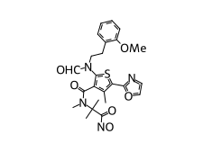 COc1ccccc1CCN(C=O)c1sc(-c2ncco2)c(C)c1C(=O)N(C)C(C)(C)C(=O)N=O